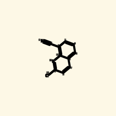 N#Cc1cccc2ccc(Cl)nc12